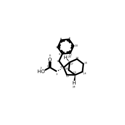 O=C(O)C[C@@]1(Cc2ccccc2)C[C@H]2CCC[C@H]1C2